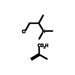 C=C(C)C(=O)O.CC(CCl)N(C)C